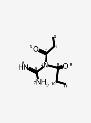 CCC(=O)N(C(=N)N)C(=O)CC